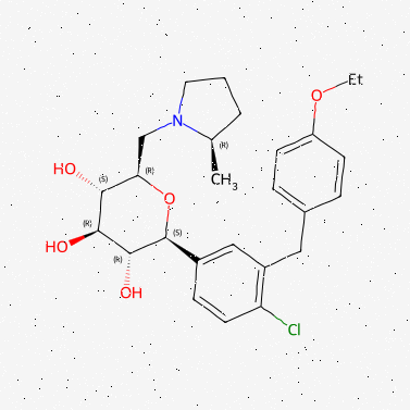 CCOc1ccc(Cc2cc([C@@H]3O[C@H](CN4CCC[C@H]4C)[C@@H](O)[C@H](O)[C@H]3O)ccc2Cl)cc1